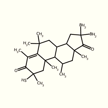 BC1(B)CC2C3CC(C)(C)C4=C(C)C(=O)C(C)(S)CC4(C)C3C(C)CC2(C)C1=O